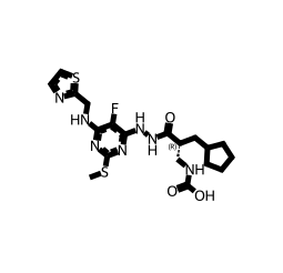 CSc1nc(NCc2nccs2)c(F)c(NNC(=O)[C@@H](CNC(=O)O)CC2CCCC2)n1